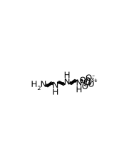 NCCNCCNCCNO[Cl+3]([O-])([O-])[O-]